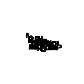 COc1cccc(OC)c1-n1c(NS(=O)(=O)[C@H](C)[C@H](O)c2ccc(F)cn2)nnc1-c1ccn(C)n1